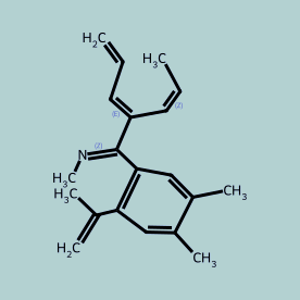 C=C/C=C(\C=C/C)C(=N/C)/c1cc(C)c(C)cc1C(=C)C